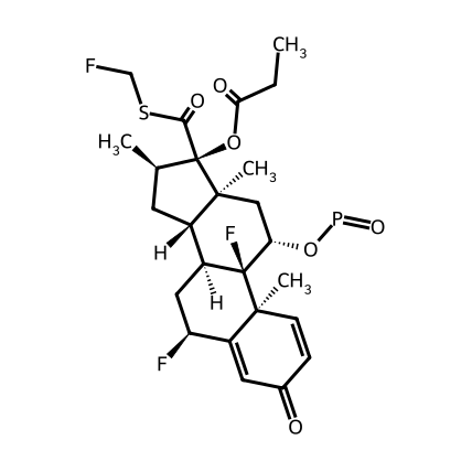 CCC(=O)O[C@]1(C(=O)SCF)[C@H](C)C[C@H]2[C@@H]3C[C@H](F)C4=CC(=O)C=C[C@]4(C)[C@@]3(F)[C@@H](OP=O)C[C@@]21C